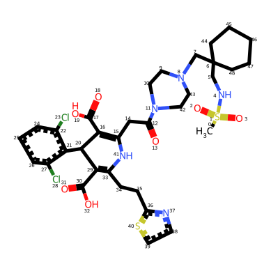 CS(=O)(=O)NCC1(CN2CCN(C(=O)CC3=C(C(=O)O)C(c4c(Cl)cccc4Cl)C(C(=O)O)=C(CCc4nccs4)N3)CC2)CCCCC1